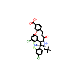 COc1cc(C(=O)O)ccc1CCC(=O)C1N[C@@H](CC(C)(C)C)[C@](C#N)(c2ccc(Cl)cc2F)C1c1cccc(Cl)c1F